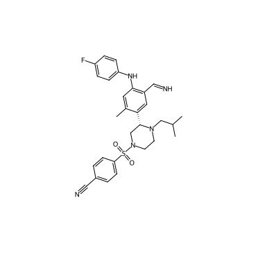 Cc1cc(Nc2ccc(F)cc2)c(C=N)cc1[C@H]1CN(S(=O)(=O)c2ccc(C#N)cc2)CCN1CC(C)C